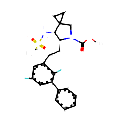 CC(C)(C)OC(=O)N1CC2(CC2)[C@H](NS(C)(=O)=O)[C@@H]1CCc1cc(F)cc(-c2ccccc2)c1F